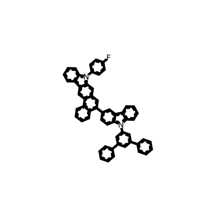 Fc1ccc(-n2c3ccccc3c3cc4c(cc(-c5ccc6c(c5)c5ccccc5n6-c5cc(-c6ccccc6)cc(-c6ccccc6)c5)c5ccccc54)cc32)cc1